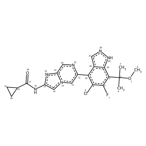 COC(C)(C)c1c(F)c(Cl)c(-c2cn3cc(NC(=O)C4CC4)nc3cn2)c2cn[nH]c12